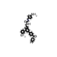 Nc1ccc(/C=C/C(=O)NCc2cc3cc(-c4ccc(C(=O)N5CCC(F)(F)CC5)cc4)cc(-c4cccc(C(F)(F)F)c4)c3o2)cn1